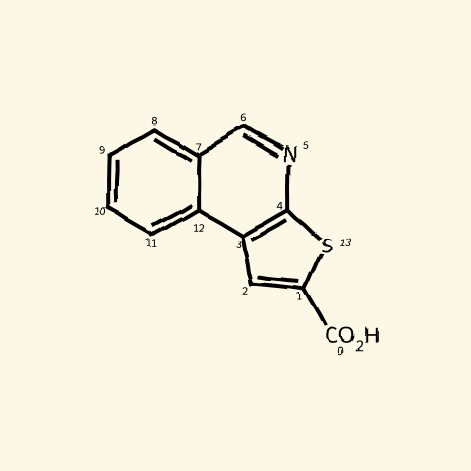 O=C(O)c1cc2c(ncc3ccccc32)s1